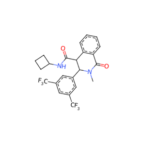 CN1C(=O)c2ccccc2C(C(=O)NC2CCC2)C1c1cc(C(F)(F)F)cc(C(F)(F)F)c1